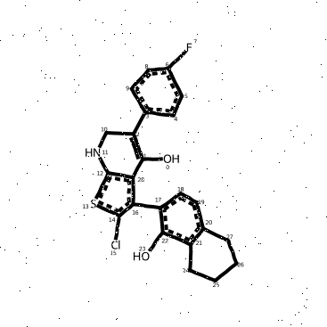 OC1=C(c2ccc(F)cc2)CNc2sc(Cl)c(-c3ccc4c(c3O)CCCC4)c21